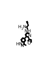 C#CC[C@H](N)CNc1cnc(-c2ccoc2)c(-c2ccc3[nH]nc(C)c3c2)c1